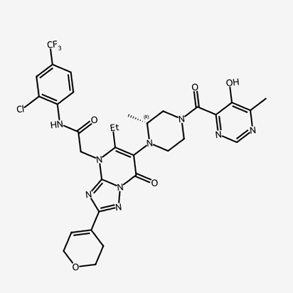 CCc1c(N2CCN(C(=O)c3ncnc(C)c3O)C[C@H]2C)c(=O)n2nc(C3=CCOCC3)nc2n1CC(=O)Nc1ccc(C(F)(F)F)cc1Cl